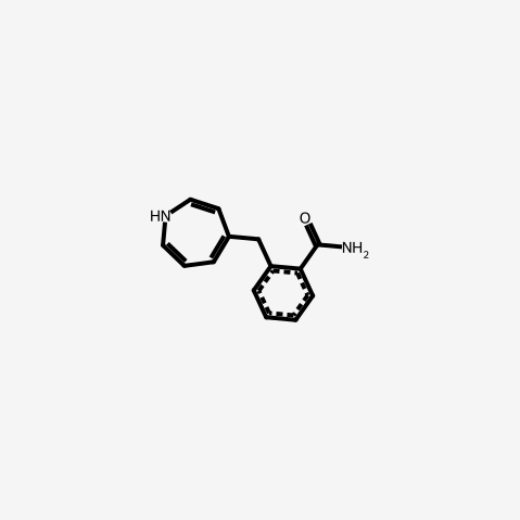 NC(=O)c1ccccc1CC1=CC=CNC=C1